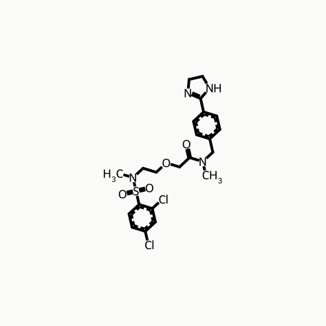 CN(Cc1ccc(C2=NCCN2)cc1)C(=O)COCCN(C)S(=O)(=O)c1ccc(Cl)cc1Cl